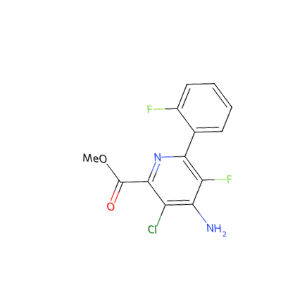 COC(=O)c1nc(-c2ccccc2F)c(F)c(N)c1Cl